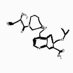 CC(C)Oc1cc2c(O[C@@H]3CCCN(C(=O)[C@H](N)C#N)C3)ccnc2cc1C(N)=O